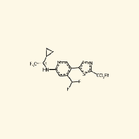 CCOC(=O)c1ncc(-c2cnc(N[C@@H](C3CC3)C(F)(F)F)cc2C(F)F)s1